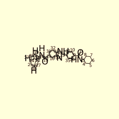 O=C(NC1CCCCC1)c1ccc(-c2nc3cc(C(=O)NC4C5C[C@H]6C[C@@H](C5)C[C@@H]4C6)ccc3[nH]2)cc1